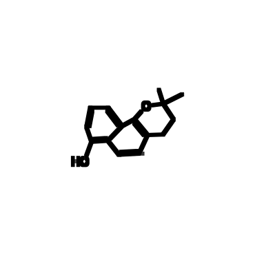 CC1(C)CCc2[c]cc3c(O)cccc3c2O1